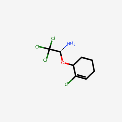 N[C@H](OC1CCCC=C1Cl)C(Cl)(Cl)Cl